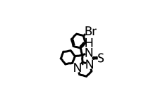 S=C1NC(C2=CC(Br)CC=C2)(C2CCCCC2)C2=NCCCN12